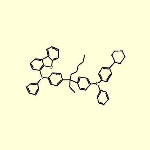 CCCCCC(CC)(c1ccc(N(c2ccccc2)c2ccc(C3CCCCC3)cc2)cc1)c1ccc(N(c2ccccc2)c2cccc3c2oc2ccccc23)cc1